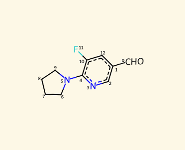 O=Cc1cnc(N2CCCC2)c(F)c1